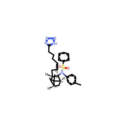 Cc1ccc(N([C@@H]2[C@@H](C/C=C\CCCc3nnn[nH]3)C[C@H]3C[C@H]2C3(C)C)S(=O)(=O)c2ccccc2)cc1